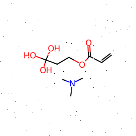 C=CC(=O)OCCC(O)(O)O.CN(C)C